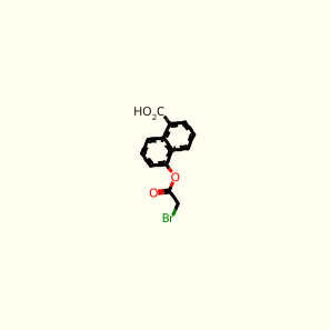 O=C(CBr)Oc1cccc2c(C(=O)O)cccc12